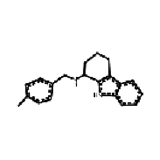 Cc1ccc(CNC2CCCc3c2[nH]c2ccccc32)cc1